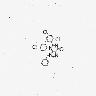 O=c1nc(-c2ccc(Cl)cc2Cl)n(-c2ccc(Cl)cc2)c2c1ncn2Cc1ccccc1